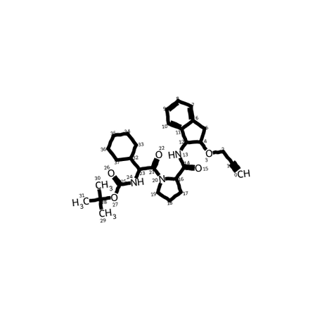 C#CCOC1Cc2ccccc2C1NC(=O)C1CCCN1C(=O)C(NC(=O)OC(C)(C)C)C1CCCCC1